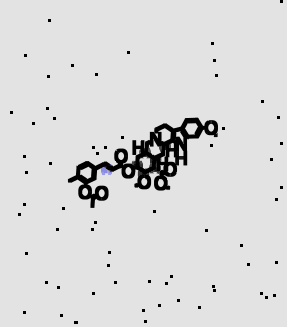 COC(=O)[C@H]1[C@H]2C[C@@H]3c4[nH]c5cc(OC)ccc5c4CCN3C[C@H]2C[C@@H](OC(=O)/C=C/c2ccc(C)c(OC(C)=O)c2)[C@@H]1OC